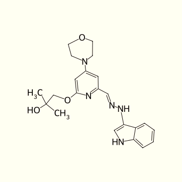 CC(C)(O)COc1cc(N2CCOCC2)cc(C=NNc2c[nH]c3ccccc23)n1